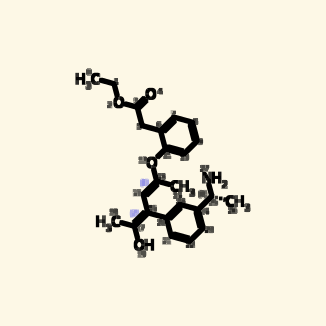 CCOC(=O)Cc1ccccc1O/C(C)=C/C(=C(\C)O)c1cccc([C@@H](C)N)c1